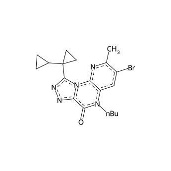 CCCCn1c(=O)c2nnc(C3(C4CC4)CC3)n2c2nc(C)c(Br)cc21